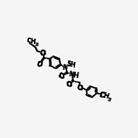 CCCCOC(=O)c1ccc(N(S)C(=O)NC(=O)COc2ccc(C)cc2)cc1